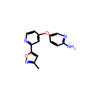 Cc1cc(-c2cc(Oc3ccc(N)nc3)ccn2)on1